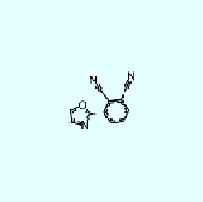 N#Cc1cccc(-c2n[c]co2)c1C#N